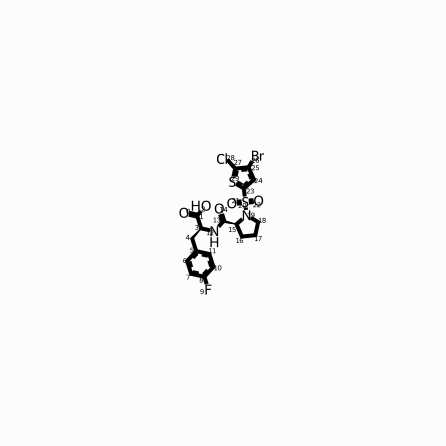 O=C(O)[C@H](Cc1ccc(F)cc1)NC(=O)[C@@H]1CCCN1S(=O)(=O)c1cc(Br)c(Cl)s1